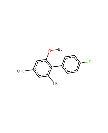 CCCc1cc(C=O)cc(OCC)c1-c1ccc(F)cc1